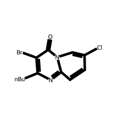 CCCCc1nc2ccc(Cl)cn2c(=O)c1Br